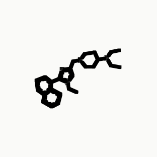 CCN(CC)C1CCN(Cc2cn(CC)c(-c3cccc4ccccc34)n2)CC1